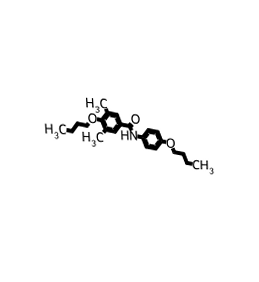 CCCCOc1ccc(NC(=O)c2cc(C)c(OCCCC)c(C)c2)cc1